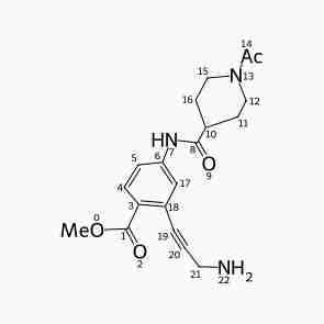 COC(=O)c1ccc(NC(=O)C2CCN(C(C)=O)CC2)cc1C#CCN